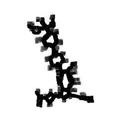 CNC1CC(n2cc(C#N)c3cc(F)c(N4CCN(c5ccc(C(C)(OC)OC)cc5)CC4)nc32)C1